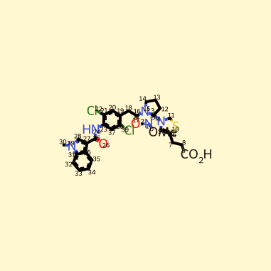 CON(C)[C@@]1(N2C=C(CCC(=O)O)SC2)CCCN1C(=O)Cc1cc(Cl)c(NC(=O)c2cn(C)c3ccccc23)cc1Cl